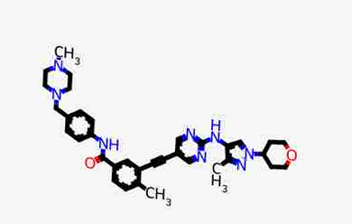 Cc1ccc(C(=O)Nc2ccc(CN3CCN(C)CC3)cc2)cc1C#Cc1cnc(Nc2cn(C3CCOCC3)nc2C)nc1